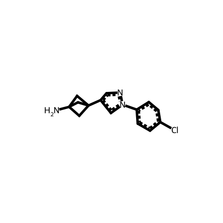 NC12CC(c3cnn(-c4ccc(Cl)cc4)c3)(C1)C2